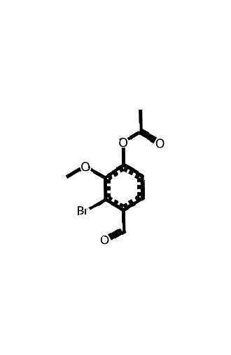 COc1c(OC(C)=O)ccc(C=O)c1Br